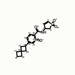 O=C(NC1C=CS(=O)(=O)C1)c1ccc(C2CC3(CCC3)C2)c[n+]1[O-]